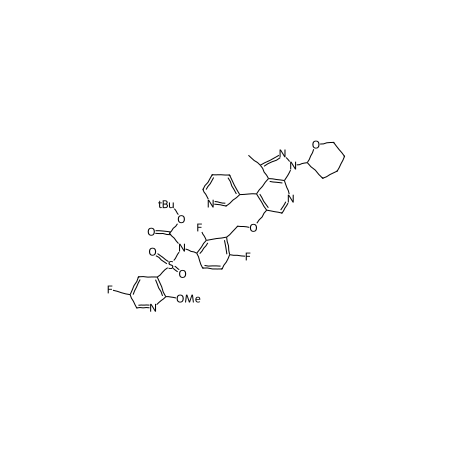 COc1ncc(F)cc1S(=O)(=O)N(C(=O)OC(C)(C)C)c1ccc(F)c(COc2cnc3c(c(C)nn3C3CCCCO3)c2-c2cccnc2)c1F